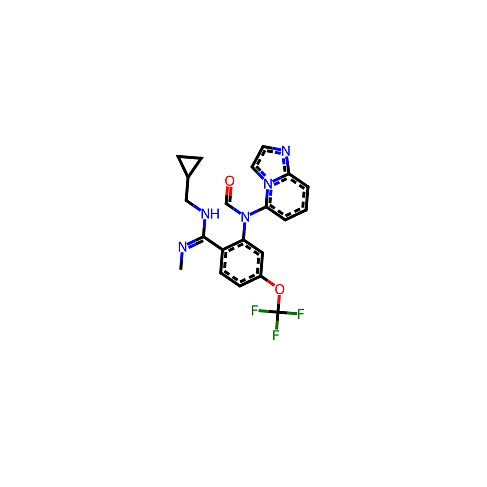 C/N=C(/NCC1CC1)c1ccc(OC(F)(F)F)cc1N(C=O)c1cccc2nccn12